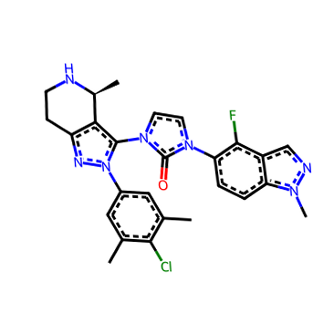 Cc1cc(-n2nc3c(c2-n2ccn(-c4ccc5c(cnn5C)c4F)c2=O)[C@H](C)NCC3)cc(C)c1Cl